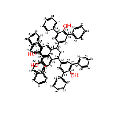 Oc1c(-c2ccccc2)cc(C(CC(c2cc(-c3ccccc3)c(O)c(-c3ccccc3)c2)c2cc(-c3ccccc3)c(O)c(-c3ccccc3)c2)c2cc(-c3ccccc3)c(O)c(-c3ccccc3)c2)cc1-c1ccccc1